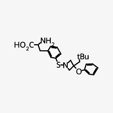 CC(C)(C)CC1(Oc2ccccc2)CN(Sc2cccc(CC(N)C(=O)O)c2)C1